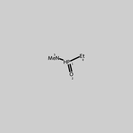 CC[PH](=O)NC